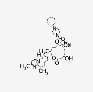 C/C(=C\C=C\C(C)c1nccc(C)n1)[C@H]1OC(=O)C[C@H](O)CC[C@@](C)(O)[C@@H](OC(=O)N2CCN(C3CCCCCC3)CC2)/C=C/[C@@H]1C